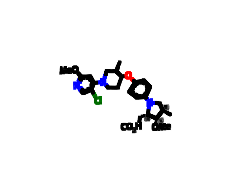 COc1cc(N2CCC(Oc3ccc(N4C[C@@H](C)[C@H](OC)[C@@H]4CC(=O)O)cc3)C(C)C2)c(Cl)cn1